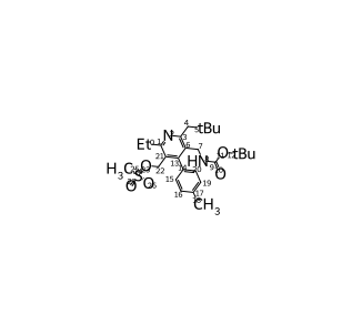 CCc1nc(CC(C)(C)C)c(CNC(=O)OC(C)(C)C)c(-c2ccc(C)cc2)c1COS(C)(=O)=O